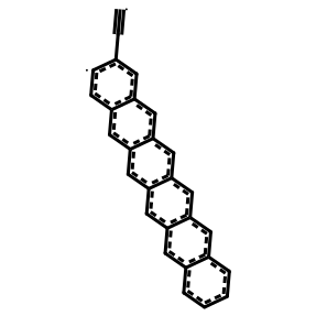 [C]#Cc1[c]cc2cc3cc4cc5cc6ccccc6cc5cc4cc3cc2c1